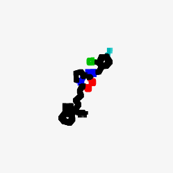 CC(C)C(C#N)(CCCCC(=O)N1CCC[C@@H]1C(=O)NCc1ccc(F)cc1Cl)c1ccccc1